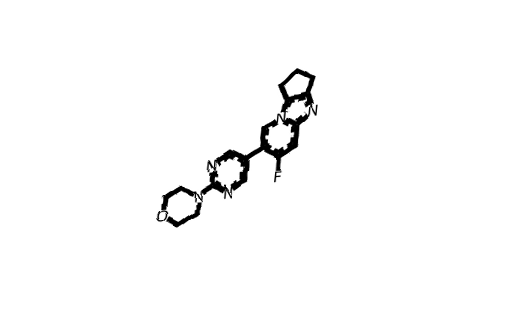 Fc1cc2nc3c(n2cc1-c1cnc(N2CCOCC2)nc1)CCC3